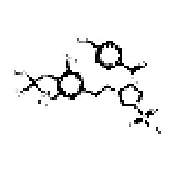 CSc1ccc(C(=O)[C@@H]2CN(S(C)(=O)=O)C[C@H]2CCc2cc(C)c(OC(C)(C)C(=O)O)c(C)c2)cc1